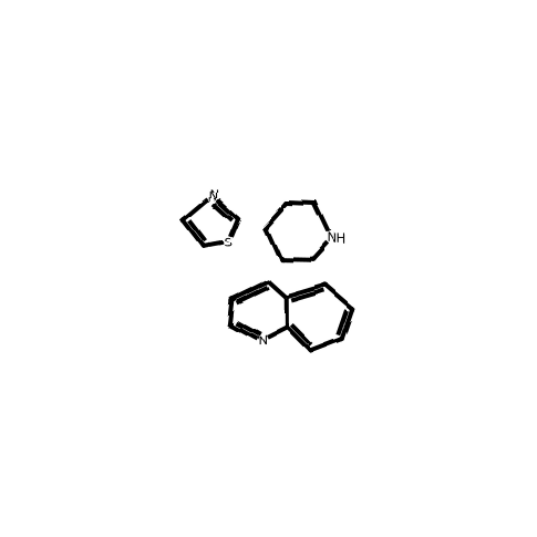 C1CCNCC1.c1ccc2ncccc2c1.c1cscn1